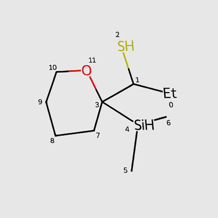 [CH2]CC(S)C1([SiH](C)C)CCCCO1